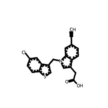 C#Cc1ccc2c(CC(=O)O)cn(Cc3csc4ccc(Cl)cc34)c2c1